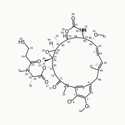 COc1cc2cc(c1Cl)N(C)C(=O)C[C@H](OC(=O)[C@H](C)N(C)C(=O)CCS)[C@]1(C)O[C@H]1[C@H](C)[C@@H]1C[C@@H](NC(=O)O1)[C@H](OC)/C=C/C=C(\C)C2